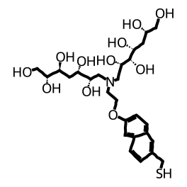 OC[C@@H](O)C[C@@H](O)[C@H](O)[C@@H](O)CN(CCOc1ccc2cc(CS)ccc2c1)C[C@H](O)[C@@H](O)C[C@H](O)[C@H](O)CO